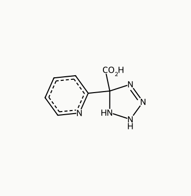 O=C(O)C1(c2ccccn2)N=NNN1